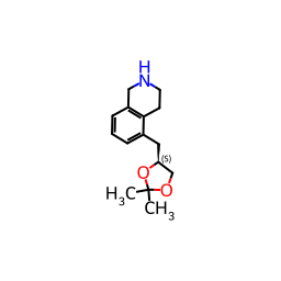 CC1(C)OC[C@H](Cc2cccc3c2CCNC3)O1